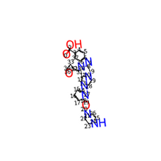 O=C(O)c1ccc2nc(CN3CCN(c4cccc(OCN5CCNCC5)n4)CC3)n(C[C@@H]3CCO3)c2c1